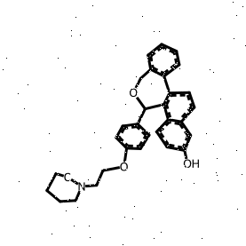 Oc1ccc2c3c(ccc2c1)-c1ccccc1COC3c1ccc(OCCN2CCCCC2)cc1